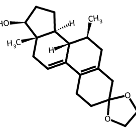 C[C@H]1CC2=C(CCC3(C2)OCCO3)C2=CC[C@]3(C)[C@@H](O)CC[C@H]3[C@@H]21